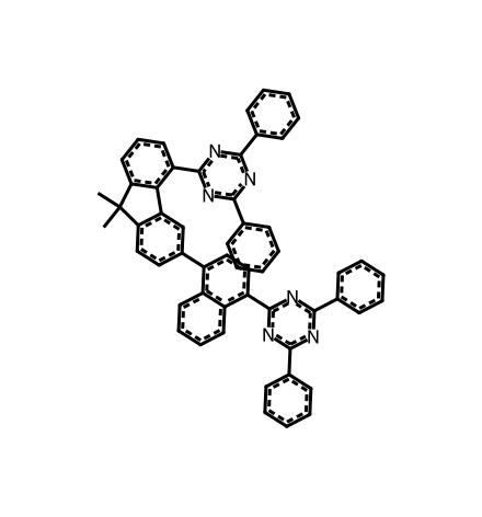 CC1(C)c2ccc(-c3ccc(-c4nc(-c5ccccc5)nc(-c5ccccc5)n4)c4ccccc34)cc2-c2c(-c3nc(-c4ccccc4)nc(-c4ccccc4)n3)cccc21